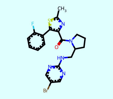 Cc1nc(C(=O)N2CCCC2CNc2ncc(Br)cn2)c(-c2ccccc2F)s1